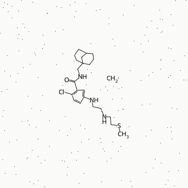 CSCCNCCNc1ccc(Cl)c(C(=O)NCC23CCCC(CCC2)C3)c1.[CH2]